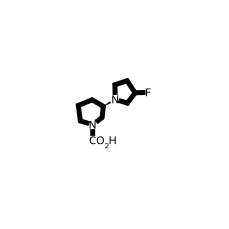 O=C(O)N1CCC[C@H](N2CCC(F)C2)C1